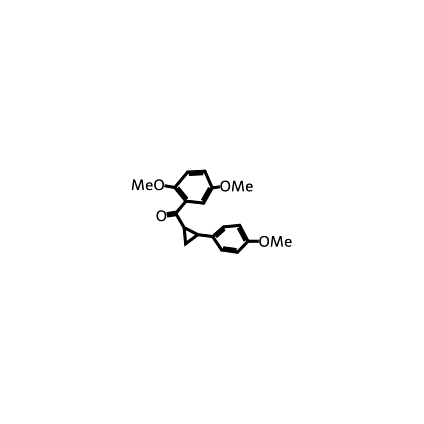 COc1ccc(C2CC2C(=O)c2cc(OC)ccc2OC)cc1